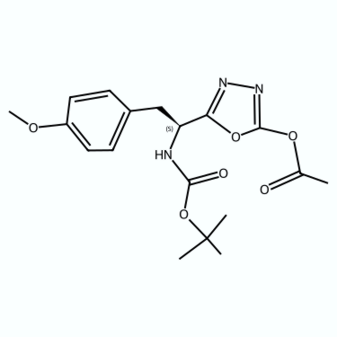 COc1ccc(C[C@H](NC(=O)OC(C)(C)C)c2nnc(OC(C)=O)o2)cc1